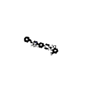 C=C(/C=C\N(C)CCc1ccccc1)c1ccc(N2CCN(C(=O)Nc3c(Cl)cccc3Cl)CC2)cc1